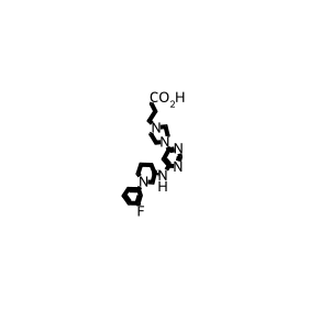 O=C(O)CCCN1CCN(c2cc(N[C@@H]3CCCN(c4cccc(F)c4)C3)ncn2)CC1